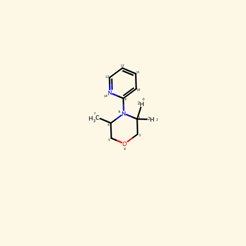 [2H]C1([2H])COCC(C)N1c1ccccn1